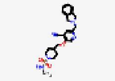 CNS(=O)(=O)N1CCC(COc2cnc(CN3Cc4ccccc4C3)cc2C#N)CC1